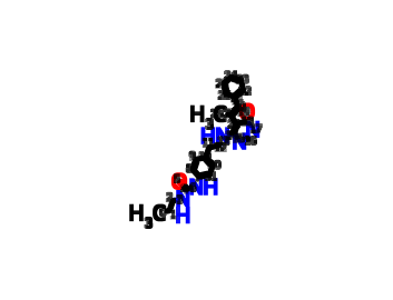 CCCNC(=O)Nc1ccc(CCNc2ncnc3oc(-c4ccccc4)c(C)c23)cc1